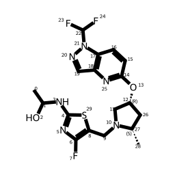 CC(O)Nc1nc(F)c(CN2C[C@H](Oc3ccc4c(cnn4C(F)F)n3)C[C@@H]2C)s1